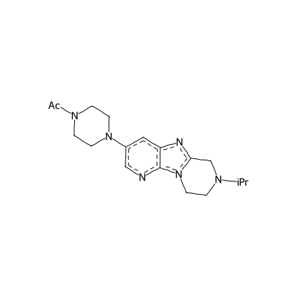 CC(=O)N1CCN(c2cnc3c(c2)nc2n3CCN(C(C)C)C2)CC1